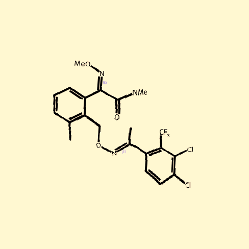 CNC(=O)/C(=N/OC)c1cccc(C)c1CO/N=C(\C)c1ccc(Cl)c(Cl)c1C(F)(F)F